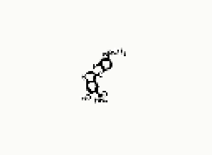 CNc1ccc(Oc2ccnc3cc(O)c(C(N)=O)cc23)c(F)c1